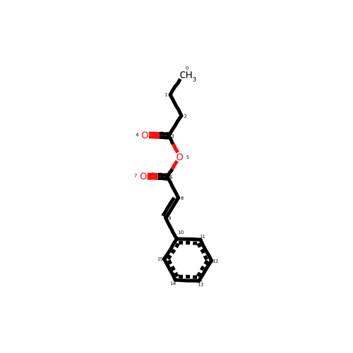 CCCC(=O)OC(=O)C=Cc1cc[c]cc1